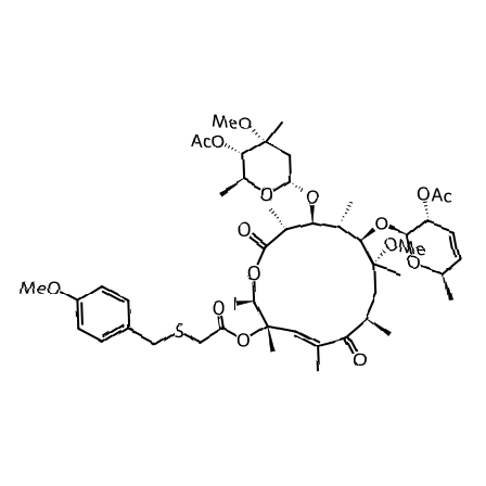 COc1ccc(CSCC(=O)O[C@@]2(C)/C=C(\C)C(=O)[C@H](C)C[C@@](C)(OC)[C@H](O[C@@H]3O[C@H](C)C=C[C@H]3OC(C)=O)[C@@H](C)[C@H](O[C@H]3C[C@@](C)(OC)[C@@H](OC(C)=O)[C@H](C)O3)[C@@H](C)C(=O)O[C@@H]2I)cc1